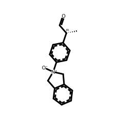 C[C@@H](C=O)c1ccc([N+]2([O-])Cc3ccccc3C2)cc1